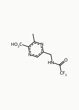 Cc1nc(CNC(=O)C(F)(F)F)cnc1C(=O)O